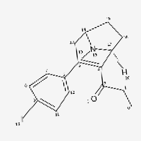 CCC(=O)C1=C(c2ccc(I)cc2)CC2CC[C@@H]1N2C